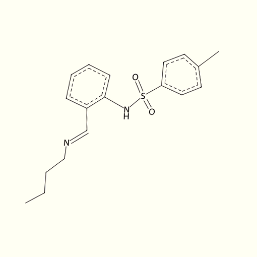 CCCCN=Cc1ccccc1NS(=O)(=O)c1ccc(C)cc1